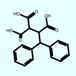 O=C(O)C(C(=O)O)C(C(=O)O)C(c1ccccc1)c1ccccc1